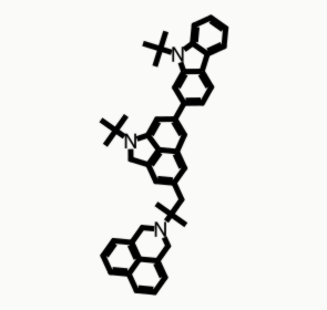 CC(C)(C)N1Cc2cc(CC(C)(C)N3Cc4cccc5cccc(c45)C3)cc3cc(-c4ccc5c6ccccc6n(C(C)(C)C)c5c4)cc1c23